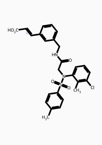 Cc1ccc(S(=O)(=O)N(CC(=O)NCc2cccc(/C=C/C(=O)O)c2)c2cccc(Cl)c2C)cc1